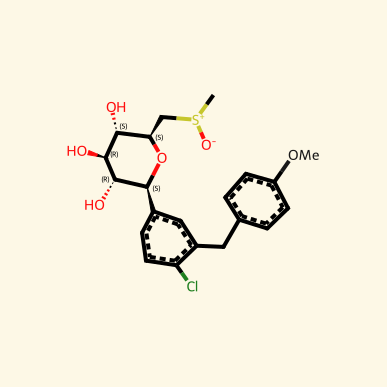 COc1ccc(Cc2cc([C@@H]3O[C@H](C[S+](C)[O-])[C@@H](O)[C@H](O)[C@H]3O)ccc2Cl)cc1